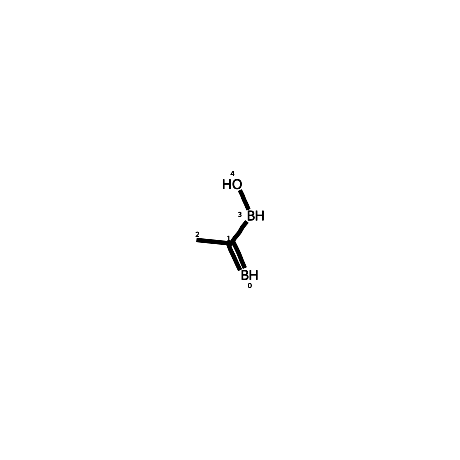 B=C(C)BO